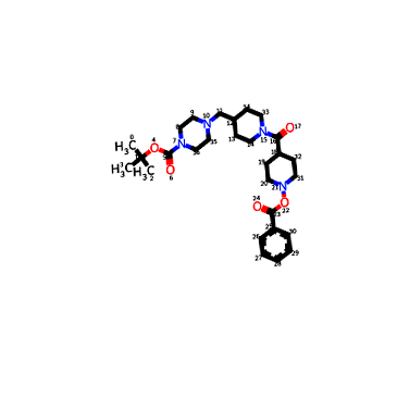 CC(C)(C)OC(=O)N1CCN(CC2CCN(C(=O)C3CCN(OC(=O)c4ccccc4)CC3)CC2)CC1